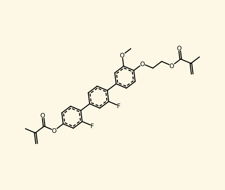 C=C(C)C(=O)OCCOc1ccc(-c2ccc(-c3ccc(OC(=O)C(=C)C)cc3F)cc2F)cc1OC